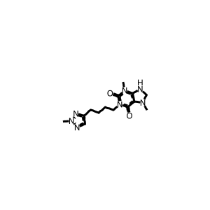 CN1CNc2c1c(=O)n(CCCCc1cnn(C)n1)c(=O)n2C